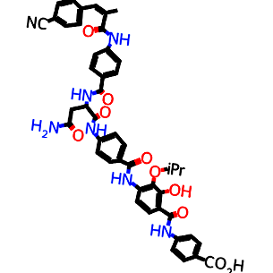 CC(=Cc1ccc(C#N)cc1)C(=O)Nc1ccc(C(=O)NC(CC(N)=O)C(=O)Nc2ccc(C(=O)Nc3ccc(C(=O)Nc4ccc(C(=O)O)cc4)c(O)c3OC(C)C)cc2)cc1